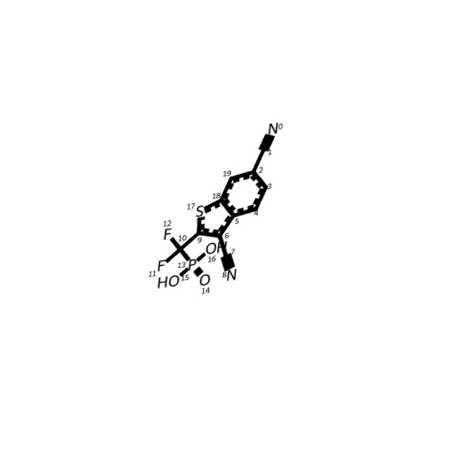 N#Cc1ccc2c(C#N)c(C(F)(F)P(=O)(O)O)sc2c1